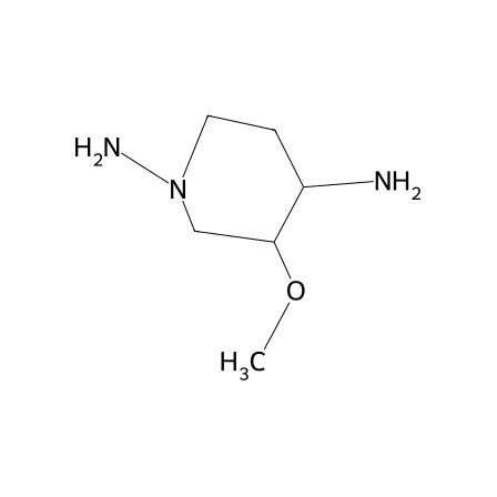 COC1CN(N)CCC1N